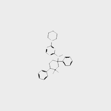 CN(c1ncnc(N2CCCCC2)n1)C1(c2ccccc2)CC[C](c2ccccc2)C(C)(C)C1